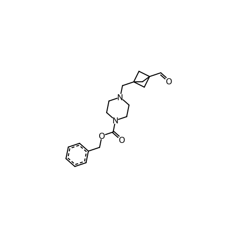 O=CC12CC(CN3CCN(C(=O)OCc4ccccc4)CC3)(C1)C2